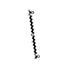 CC(=O)SCCCCCCCCCCCOCCCCCCCCCCCSC(C)=O